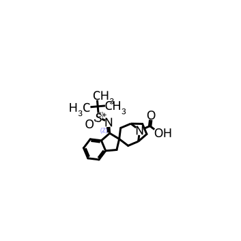 CC(C)(C)[S@@+]([O-])/N=C1\c2ccccc2CC12CC1CCC(C2)N1C(=O)O